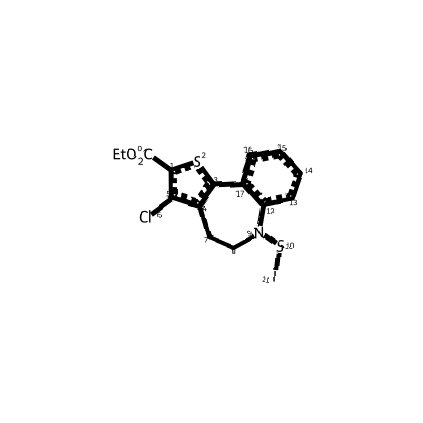 CCOC(=O)c1sc2c(c1Cl)CCN(SI)c1ccccc1-2